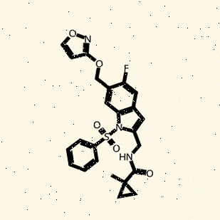 CC1(C(=O)NCc2cc3cc(F)c(COc4ccon4)cc3n2S(=O)(=O)c2ccccc2)CC1